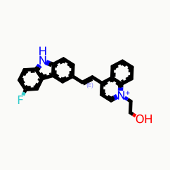 OCC[n+]1ccc(/C=C/c2ccc3[nH]c4ccc(F)cc4c3c2)c2ccccc21